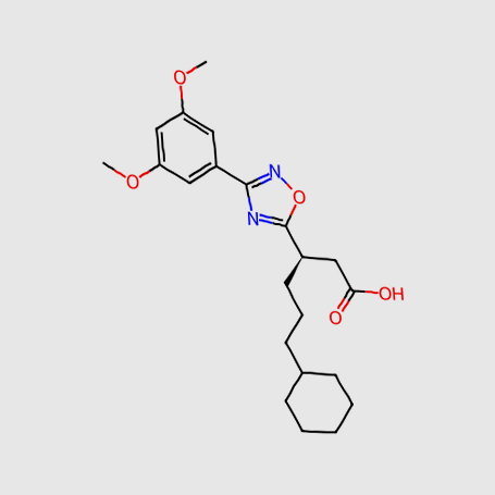 COc1cc(OC)cc(-c2noc([C@H](CCCC3CCCCC3)CC(=O)O)n2)c1